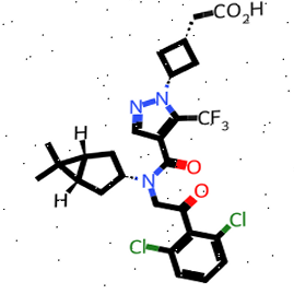 CC1(C)[C@@H]2C[C@H](N(CC(=O)c3c(Cl)cccc3Cl)C(=O)c3cnn([C@H]4C[C@@H](CC(=O)O)C4)c3C(F)(F)F)C[C@@H]21